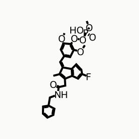 COc1cc(/C=C2/C(C)=C(CC(=O)NCc3ccccc3)c3cc(F)ccc32)cc(OC)c1OOP(=O)(O)OC